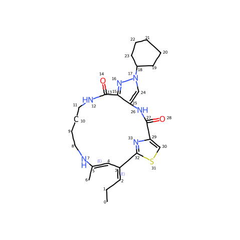 CC/C=C1\C=C(/C)NCCCCNC(=O)c2nn(C3CCCCC3)cc2NC(=O)c2csc1n2